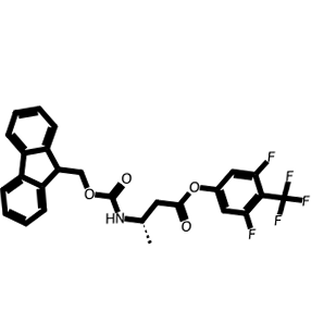 C[C@@H](CC(=O)Oc1cc(F)c(C(F)(F)F)c(F)c1)NC(=O)OCC1c2ccccc2-c2ccccc21